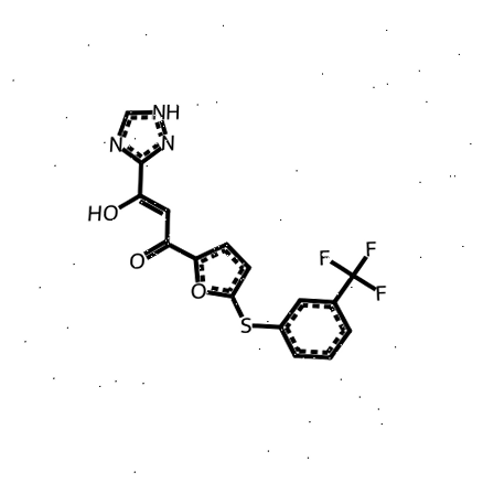 O=C(C=C(O)c1nc[nH]n1)c1ccc(Sc2cccc(C(F)(F)F)c2)o1